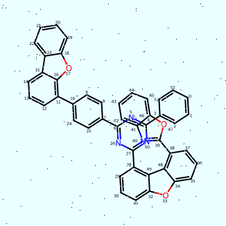 c1ccc(-c2nc(-c3ccc(-c4cccc5c4oc4ccccc45)cc3)nc(-c3cccc4oc5cccc(-c6nc7ccccc7o6)c5c34)n2)cc1